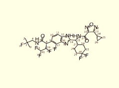 CC(C)(F)CNC(=O)[C@@H](c1ccc2[nH]c([C@@H](NC(=O)c3nonc3C3CC3)C3CCC(F)(F)CC3)nc2c1F)C(F)C(F)F